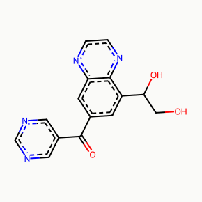 O=C(c1cncnc1)c1cc(C(O)CO)c2nccnc2c1